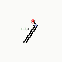 CCCCCCCCCCCCCCCCCC(C)N(CCC[Si](OC)(OC)OC)C(C)CCCCCCCCCCCCCCCCC.Cl.[SiH4]